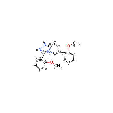 COc1ccccc1-c1ccc2nnc(-c3ccccc3OC)n2c1